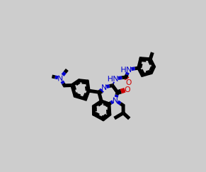 Cc1cccc(NC(=O)N[C@H]2N=C(c3ccc(CN(C)C)cc3)c3ccccc3N(CC(C)C)C2=O)c1